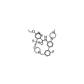 CCOc1cc(C(F)(F)F)c(C(=O)Nc2cc(-c3cc(CN4CCOCC4)ccc3F)ccc2N2CCN(C)CC2)nn1